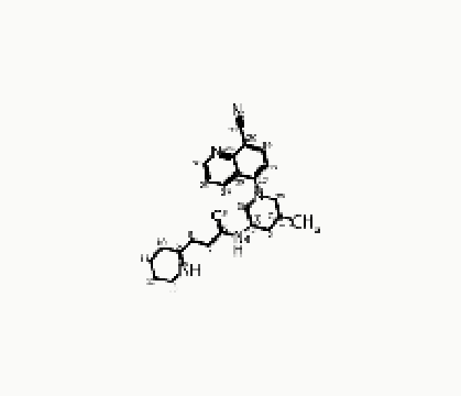 C[C@H]1C[C@@H](NC(=O)CCC2CCCCN2)CN(c2ccc(C#N)c3ncccc23)C1